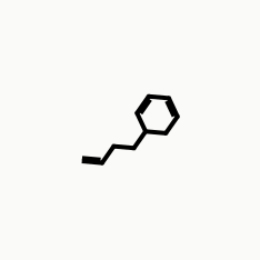 C=CCCC1C=CC=CC1